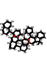 CC1(C)c2ccccc2-c2c(-c3ccccc3N(c3ccc(-c4cccc5ccccc45)cc3)c3ccccc3-c3cccc4cccc(C5CCCCC5)c34)cccc21